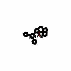 C1=Cc2ccc(-c3cc(-c4ccccc4)nc(-c4ccccc4)n3)cc2C2(c3ccccc31)c1ccccc1Sc1ccccc12